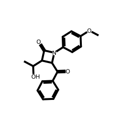 COc1ccc(N2C(=O)C(C(C)O)C2C(=O)c2ccccc2)cc1